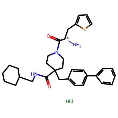 Cl.N[C@@H](Cc1cccs1)C(=O)N1CCC(Cc2ccc(-c3ccccc3)cc2)(C(=O)NCC2CCCCC2)CC1